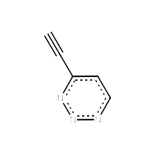 C#Cc1ccnnn1